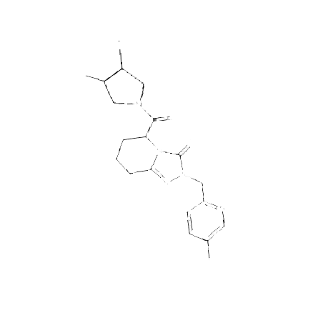 O=C(C1CCCc2nn(Cc3ccc(Cl)cn3)c(=O)n21)N1CC(F)C(F)C1